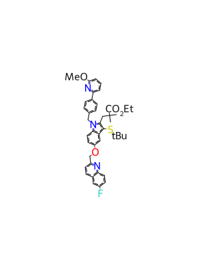 CCOC(=O)C(C)(C)Cc1c(SC(C)(C)C)c2cc(OCc3ccc4cc(F)ccc4n3)ccc2n1Cc1ccc(-c2cccc(OC)n2)cc1